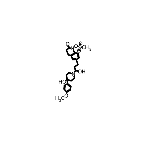 COc1ccc(C2(O)CCN(C(O)CCc3ccc4c(c3)CCC(=O)N4OS(C)(=O)=O)CC2)cc1